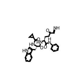 N=CC(=O)CC[C@H](NC(=O)[C@H](Cc1c[nH]c2ccccc12)NC(=O)C1CC1)C(=O)Nc1ccccc1